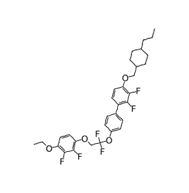 CCCC1CCC(COc2ccc(-c3ccc(OC(F)(F)COc4ccc(OCC)c(F)c4F)cc3)c(F)c2F)CC1